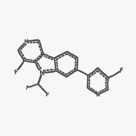 Fc1cncc(-c2ccc3c4cncc(F)c4n(C(F)F)c3c2)c1